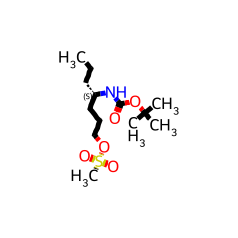 CCC[C@@H](CCCOS(C)(=O)=O)NC(=O)OC(C)(C)C